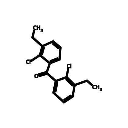 CCc1cccc(C(=O)c2cccc(CC)c2Cl)c1Cl